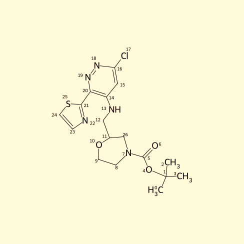 CC(C)(C)OC(=O)N1CCOC(CNc2cc(Cl)nnc2-c2nccs2)C1